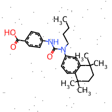 CCCCN(C(=O)Nc1ccc(C(=O)O)cc1)c1ccc2c(c1)C(C)(C)CCC2(C)C